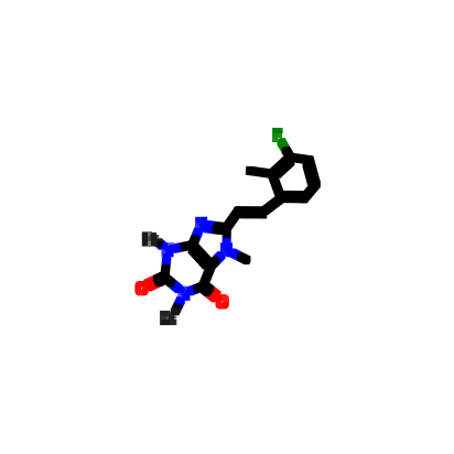 CCn1c(=O)c2c(nc(C=Cc3cccc(F)c3C)n2C)n(CC)c1=O